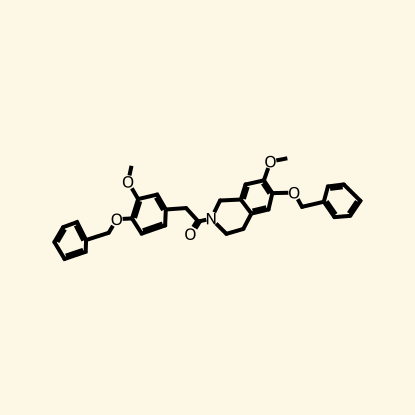 COc1cc(CC(=O)N2CCc3cc(OCc4ccccc4)c(OC)cc3C2)ccc1OCc1ccccc1